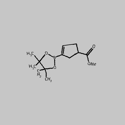 COC(=O)C1CC=C(B2OC(C)(C)C(C)(C)O2)C1